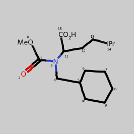 COC(=O)N(CC1CCCCC1)C(CCC(C)C)C(=O)O